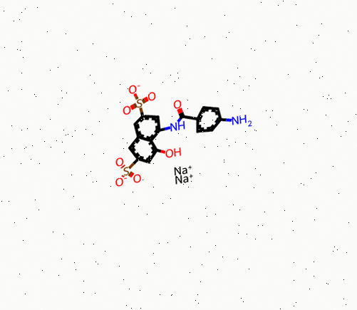 Nc1ccc(C(=O)Nc2cc(S(=O)(=O)[O-])cc3cc(S(=O)(=O)[O-])cc(O)c23)cc1.[Na+].[Na+]